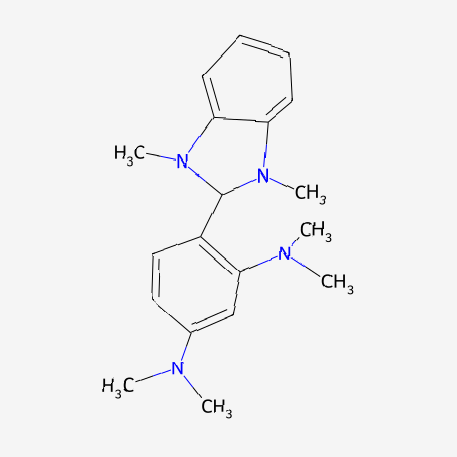 CN(C)c1ccc(C2N(C)c3ccccc3N2C)c(N(C)C)c1